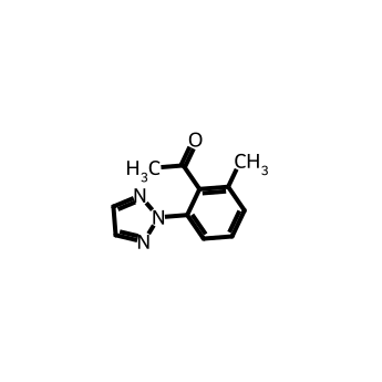 CC(=O)c1c(C)cccc1-n1nccn1